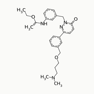 C=C(Nc1cccc(Cn2nc(-c3cccc(COCCCN(C)C)c3)ccc2=O)c1)OCC